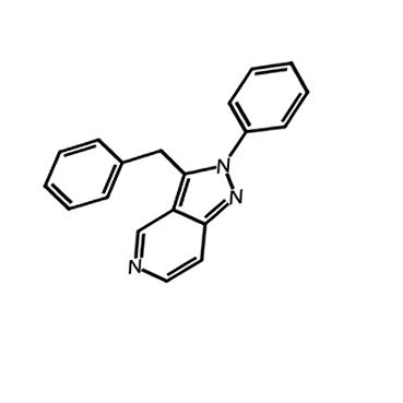 c1ccc(Cc2c3cnccc3nn2-c2ccccc2)cc1